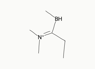 CBC(CC)=[N+](C)C